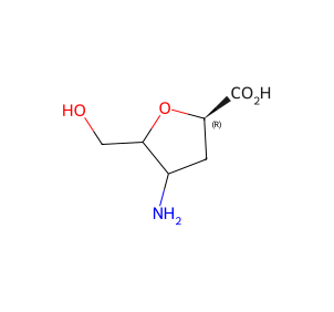 NC1C[C@H](C(=O)O)OC1CO